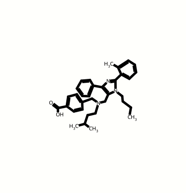 CCCCn1c(-c2ccccc2C)nc(-c2ccccc2)c1CN(CCC(C)C)Cc1ccc(C(=O)O)cc1